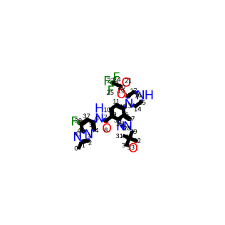 Cc1cn2cc(NC(=O)c3ccc(N4CCNCC4OC(=O)C(F)(F)F)c4cn(CC5(C)COC5)nc34)cc(F)c2n1